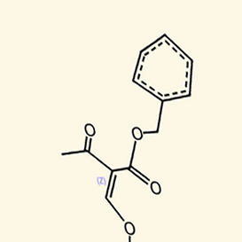 CO/C=C(/C(C)=O)C(=O)OCc1ccccc1